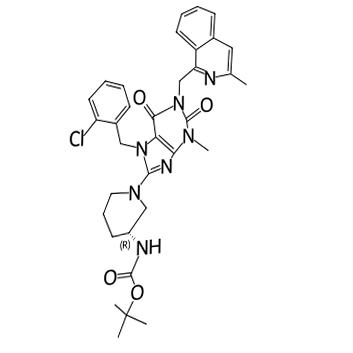 Cc1cc2ccccc2c(Cn2c(=O)c3c(nc(N4CCC[C@@H](NC(=O)OC(C)(C)C)C4)n3Cc3ccccc3Cl)n(C)c2=O)n1